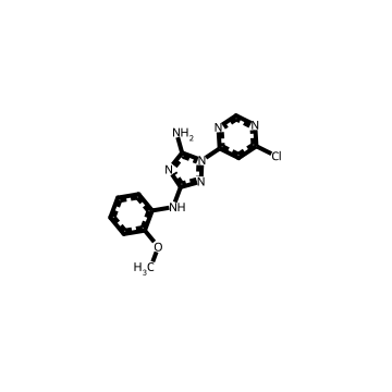 COc1ccccc1Nc1nc(N)n(-c2cc(Cl)ncn2)n1